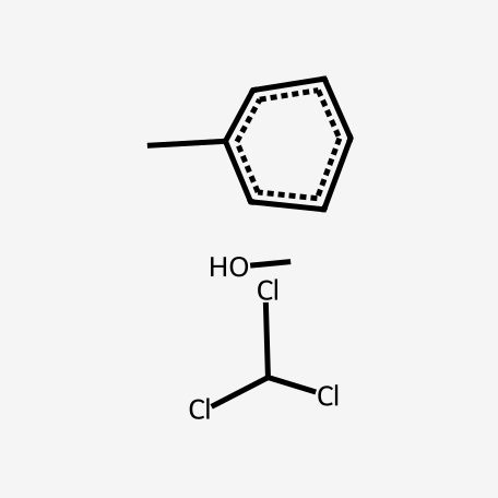 CO.Cc1ccccc1.ClC(Cl)Cl